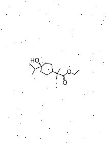 CCOC(=O)C(C)(C)[C@H]1CC[C@](O)(C(C)C)CC1